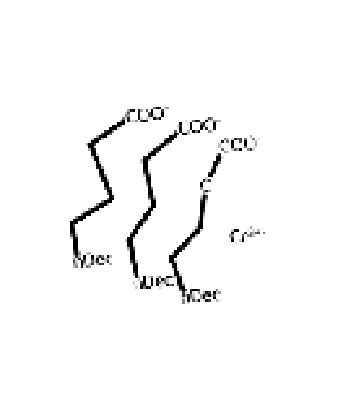 CCCCCCCCCCCCCC(=O)[O-].CCCCCCCCCCCCCC(=O)[O-].CCCCCCCCCCCCCC(=O)[O-].[Cr+3]